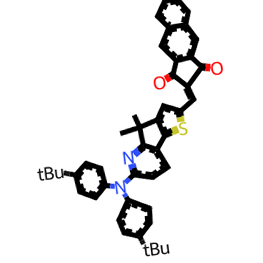 CC(C)(C)c1ccc(N(c2ccc(C(C)(C)C)cc2)c2ccc3c(n2)C(C)(C)c2cc(C=C4C(=O)c5cc6ccccc6cc5C4=O)sc2-3)cc1